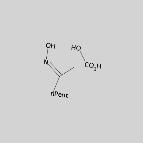 CCCCCC(C)=NO.O=C(O)O